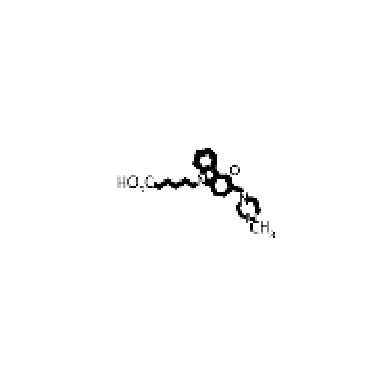 CN1CCN(CC2CCc3c(c4ccccc4n3CCCCCC(=O)O)C2=O)CC1